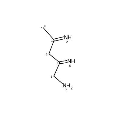 [CH2]C(=N)CC(=N)CN